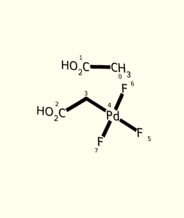 CC(=O)O.O=C(O)[CH2][Pd]([F])([F])[F]